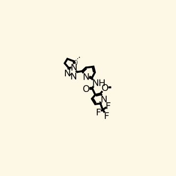 COc1nc(C(F)(F)F)ccc1C(=O)Nc1cccc(-c2nnc3n2[C@@H](C)CC3)n1